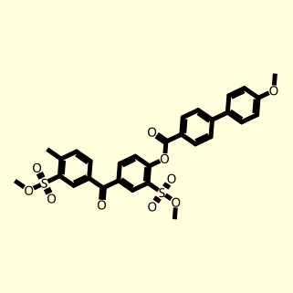 COc1ccc(-c2ccc(C(=O)Oc3ccc(C(=O)c4ccc(C)c(S(=O)(=O)OC)c4)cc3S(=O)(=O)OC)cc2)cc1